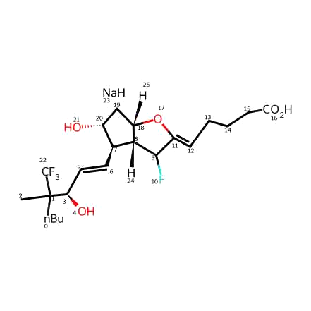 CCCCC(C)([C@H](O)/C=C/[C@@H]1[C@H]2C(F)/C(=C/CCCC(=O)O)O[C@H]2C[C@H]1O)C(F)(F)F.[NaH]